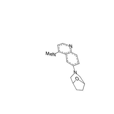 CNc1ccnc2ccc(N3CC4CCC(C3)O4)cc12